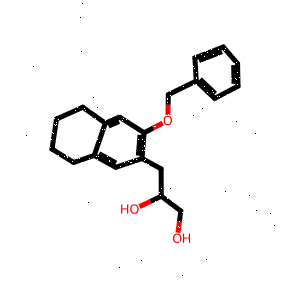 OCC(O)Cc1cc2c(cc1OCc1ccccc1)CCCC2